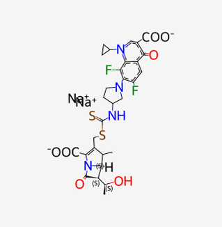 CC1C(CSC(=S)NC2CCN(c3c(F)cc4c(=O)c(C(=O)[O-])cn(C5CC5)c4c3F)C2)=C(C(=O)[O-])N2C(=O)[C@H]([C@H](C)O)[C@H]12.[Na+].[Na+]